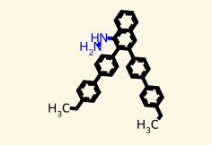 CCc1ccc(-c2ccc(-c3cc4ccccc4c(NN)c3-c3ccc(-c4ccc(CC)cc4)cc3)cc2)cc1